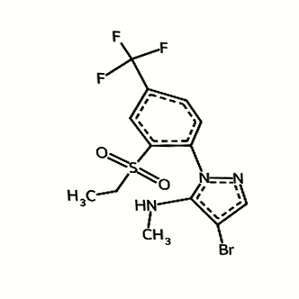 CCS(=O)(=O)c1cc(C(F)(F)F)ccc1-n1ncc(Br)c1NC